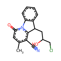 Cc1cc(=O)n2c(c1C#N)C(CC(O)CCl)c1ccccc1-2